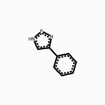 c1ccc(-c2c[nH]pn2)cc1